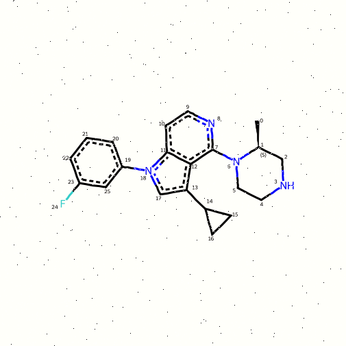 C[C@H]1CNCCN1c1nccc2c1c(C1CC1)cn2-c1cccc(F)c1